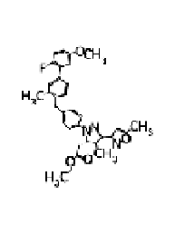 CCOC(=O)C[C@H]1[C@H](C)C(c2cc(C)on2)=NN1c1ccc(Cc2ccc(-c3cc(OC)ccc3F)cc2C)cc1